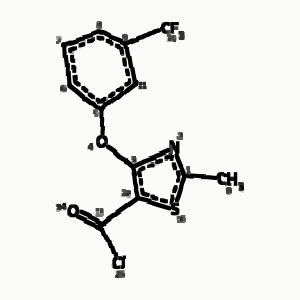 Cc1nc(Oc2cccc(C(F)(F)F)c2)c(C(=O)Cl)s1